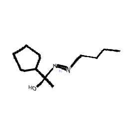 CCCC/N=N/C(C)(O)C1CCCC1